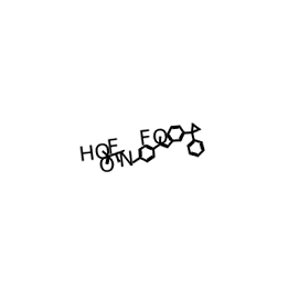 O=C(O)C1(F)CN(Cc2ccc(-c3cc4cc(C5(c6ccccc6)CC5)ccc4o3)c(F)c2)C1